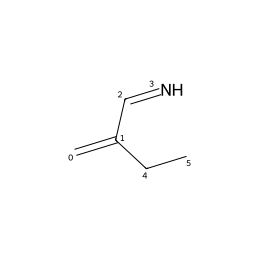 C=C(C=N)CC